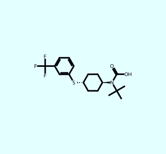 CC(C)(C)N(C(=O)O)[C@H]1CC[C@H](Sc2cccc(C(F)(F)F)c2)CC1